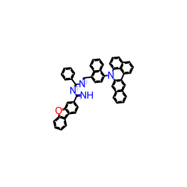 N=C(/N=C(\N=C\c1ccc(N2c3cc4ccccc4cc3-c3cccc4cccc2c34)c2ccccc12)c1ccccc1)c1ccc2c(c1)oc1ccccc12